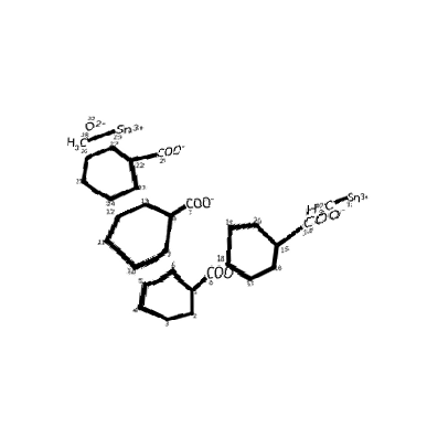 O=C([O-])C1CCCCC1.O=C([O-])C1CCCCC1.O=C([O-])C1CCCCC1.O=C([O-])C1CCCCC1.[CH3][Sn+3].[CH3][Sn+3].[O-2]